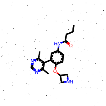 CCCC(=O)Nc1ccc(OC2CNC2)c(-c2c(C)ncnc2C)c1